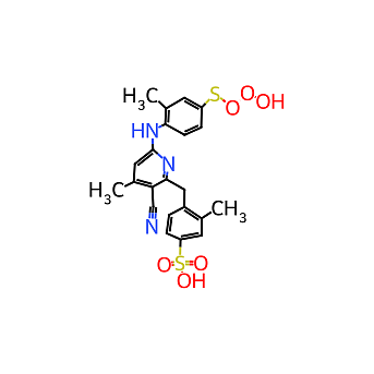 Cc1cc(S(=O)(=O)O)ccc1Cc1nc(Nc2ccc(SOOO)cc2C)cc(C)c1C#N